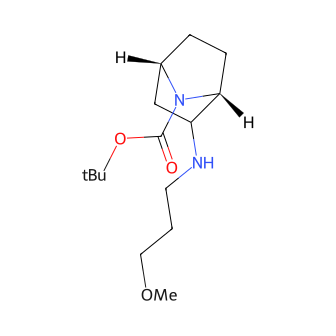 COCCCNC1C[C@@H]2CC[C@H]1N2C(=O)OC(C)(C)C